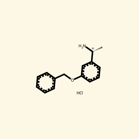 C[C@@H](N)c1cccc(OCc2ccccc2)c1.Cl